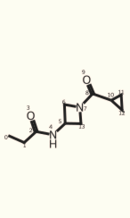 CCC(=O)NC1CN(C(=O)C2CC2)C1